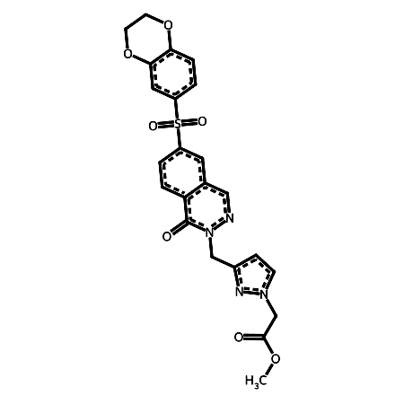 COC(=O)Cn1ccc(Cn2ncc3cc(S(=O)(=O)c4ccc5c(c4)OCCO5)ccc3c2=O)n1